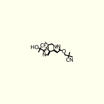 C[C@H]1Cn2nc(OCC(C)(C)C#N)cc2-c2cnc(C(C)(O)C(F)(F)F)n21